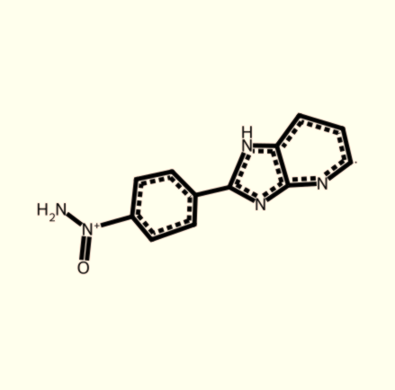 N[N+](=O)c1ccc(-c2nc3n[c]ccc3[nH]2)cc1